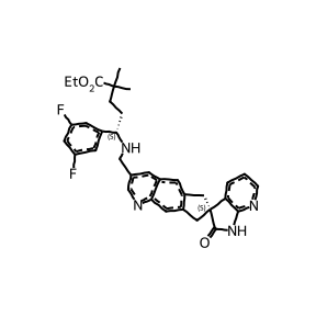 CCOC(=O)C(C)(C)CC[C@H](NCc1cnc2cc3c(cc2c1)C[C@@]1(C3)C(=O)Nc2ncccc21)c1cc(F)cc(F)c1